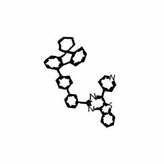 c1cc(-c2ccc(-c3cccc4c3-c3ccccc3C43CCCCC3)cc2)cc(-c2nc(-c3ccncc3)c3sc4ccccc4c3n2)c1